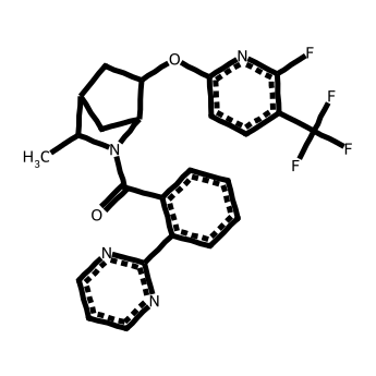 CC1C2CC(Oc3ccc(C(F)(F)F)c(F)n3)C(C2)N1C(=O)c1ccccc1-c1ncccn1